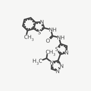 Cc1cccc2nc(NC(=O)Nc3cnc(-c4nncn4C(C)C)s3)sc12